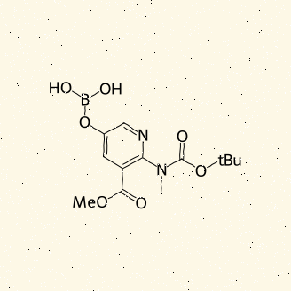 COC(=O)c1cc(OB(O)O)cnc1N(C)C(=O)OC(C)(C)C